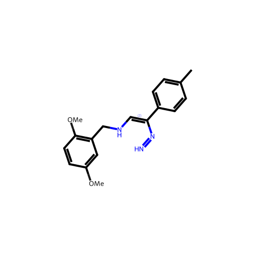 COc1ccc(OC)c(CN/C=C(\N=N)c2ccc(C)cc2)c1